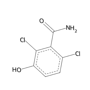 NC(=O)c1c(Cl)ccc(O)c1Cl